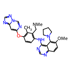 CNCc1c(Nc2ncnc3ccc(OC)c(N4CCCC4)c23)ccc(Oc2cc3ncnn3cn2)c1C